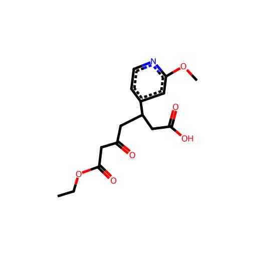 CCOC(=O)CC(=O)CC(CC(=O)O)c1ccnc(OC)c1